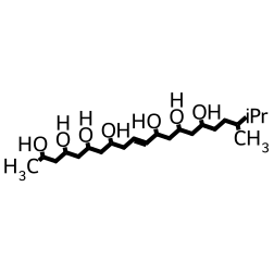 CC(O)CC(O)CC(O)CC(O)C/C=C/C(O)CC(O)CC(O)CCC(C)C(C)C